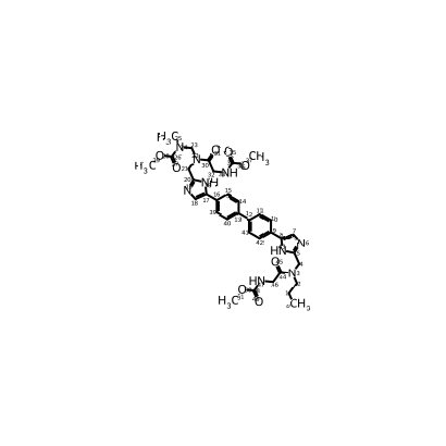 CCCN(Cc1ncc(-c2ccc(-c3ccc(-c4cnc(CN(CN(C)C(=O)OC)C(=O)CNC(=O)OC)[nH]4)cc3)cc2)[nH]1)C(=O)CNC(=O)OC